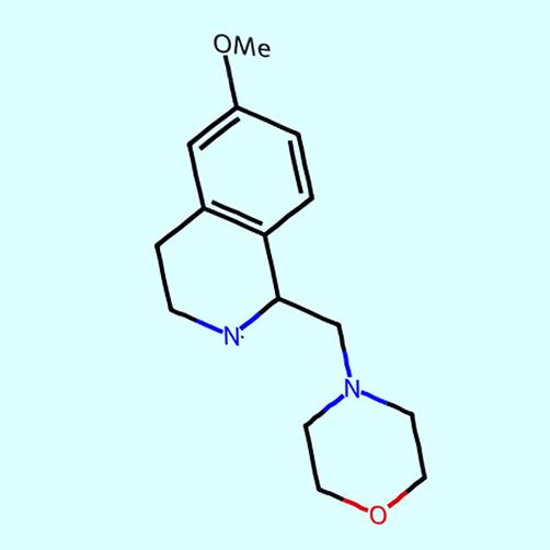 COc1ccc2c(c1)CC[N]C2CN1CCOCC1